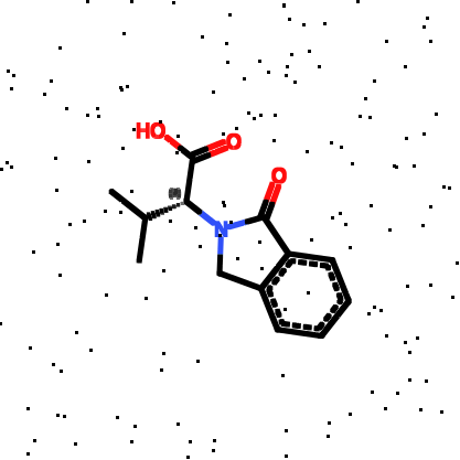 CC(C)[C@H](C(=O)O)N1Cc2ccccc2C1=O